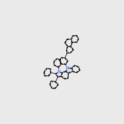 c1ccc(-c2c(-c3ccccc3)n(-c3ccccc3)c3c2ccc2c4ccccc4n(-c4cccc(-c5ccc6c(ccc7ccccc76)c5)c4)c23)cc1